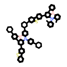 Cc1ccccc1N1c2cc(-c3ccc4c(c3)sc3cc(C5CCCC(c6ccc7c(c6)B6c8cc(C9CCCCC9)ccc8-c8cc(-c9ccc%10c(c9)sc9ccccc9%10)cc(c86)N7c6ccc(C7CCCCC7)cc6)C5)ccc34)cc3c2B(c2ccccc2-3)c2cccc(C)c21